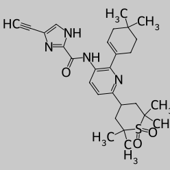 C#Cc1c[nH]c(C(=O)Nc2ccc(C3CC(C)(C)S(=O)(=O)C(C)(C)C3)nc2C2=CCC(C)(C)CC2)n1